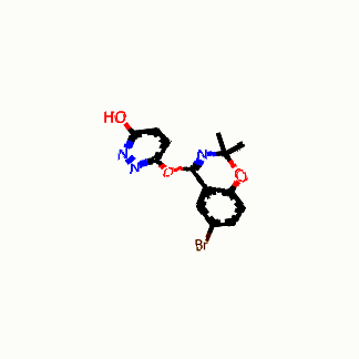 CC1(C)N=C(Oc2ccc(O)nn2)c2cc(Br)ccc2O1